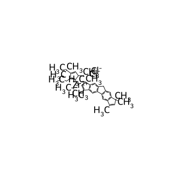 CCC1=[C]([Zr+2]([C]2=C(C)c3cc4c(cc3C2(C)C)Cc2cc3c(cc2-4)C(C)=CC3(C)C)=[C](C)C)C(CC)C=C1C(C)(C)C.[Cl-].[Cl-]